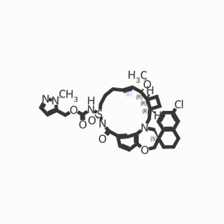 CO[C@H]1/C=C/CCCS(=O)(NC(=O)OCc2ccnn2C)=NC(=O)c2ccc3c(c2)N(C[C@@H]2CC[C@H]21)C[C@@]1(CCCc2cc(Cl)ccc21)CO3